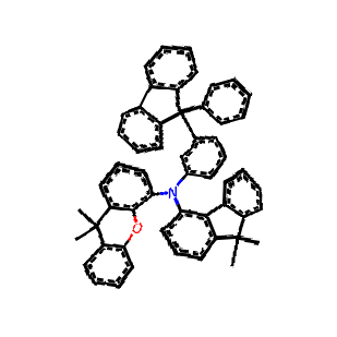 CC1(C)c2ccccc2Oc2c(N(c3cccc(C4(c5ccccc5)c5ccccc5-c5ccccc54)c3)c3cccc4c3-c3ccccc3C4(C)C)cccc21